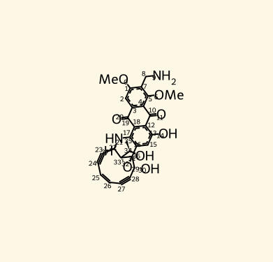 COc1cc2c(c(OC)c1CN)C(=O)c1c(O)cc3c(c1C2=O)N[C@H]1C#C/C=C\C#C[C@@H](O)[C@@]32O[C@@]12[C@@H](C)O